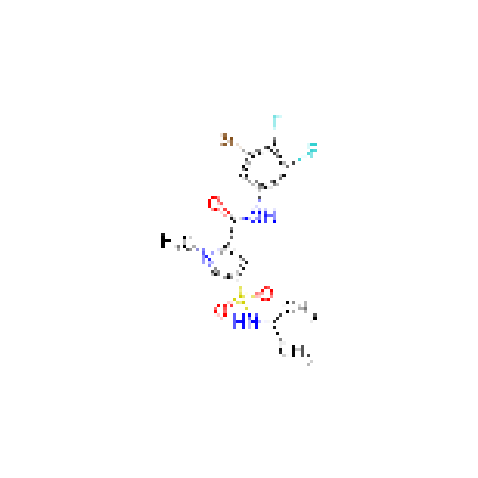 CC(C)NS(=O)(=O)c1cc(C(=O)Nc2cc(F)c(F)c(Br)c2)n(C)c1